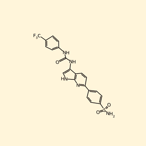 NS(=O)(=O)c1ccc(-c2ccc3c(NC(=O)Nc4ccc(C(F)(F)F)cc4)c[nH]c3n2)cc1